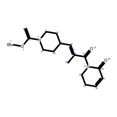 C=C(OC(C)(C)C)N1CCC(/C=C(\C)C(=O)N2CCC=CC2=O)CC1